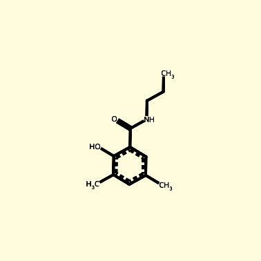 CCCNC(=O)c1cc(C)cc(C)c1O